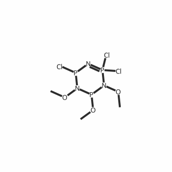 CON1P(Cl)N=P(Cl)(Cl)N(OC)P1OC